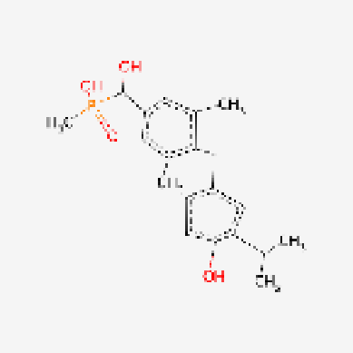 Cc1cc(C(O)P(C)(=O)O)cc(C)c1Cc1ccc(O)c(C(C)C)c1